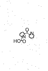 O=C(O)c1cccc(C(=O)c2ccccn2)n1